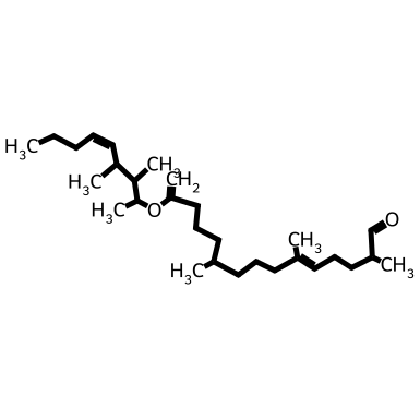 C=C(CCCC(C)CCC/C(C)=C/CCC(C)C=O)OC(C)C(C)C(C)/C=C\CCC